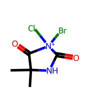 CC1(C)NC(=O)[N+](Cl)(Br)C1=O